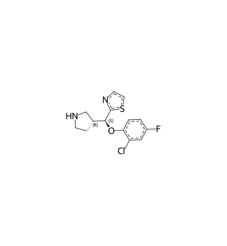 Fc1ccc(O[C@H](c2nccs2)[C@@H]2CCNC2)c(Cl)c1